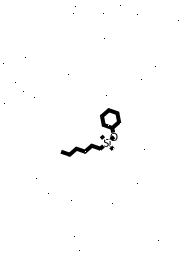 CCCCCC[Si](C)(C)OC1CCCCC1